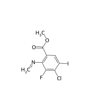 C=Nc1c(C(=O)OC)cc(I)c(Cl)c1F